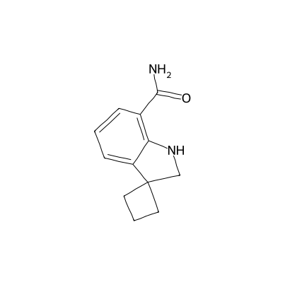 NC(=O)c1cccc2c1NCC21CCC1